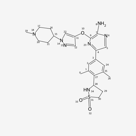 Cc1cc(-c2cnc(N)c(Oc3cnn(C4CCN(C)CC4)c3)n2)cc(C)c1C1CCS(=O)(=O)N1